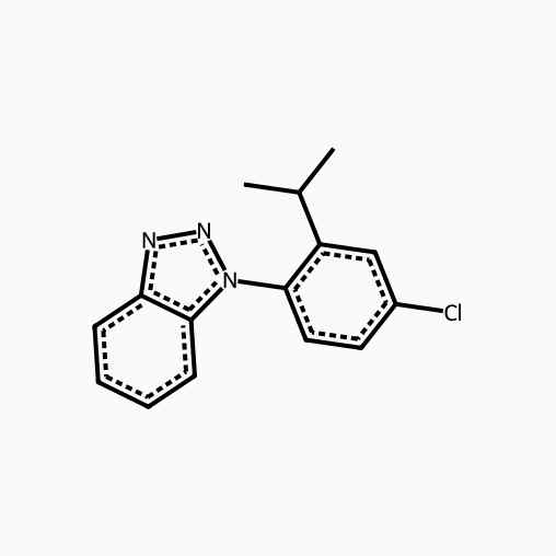 CC(C)c1cc(Cl)ccc1-n1nnc2ccccc21